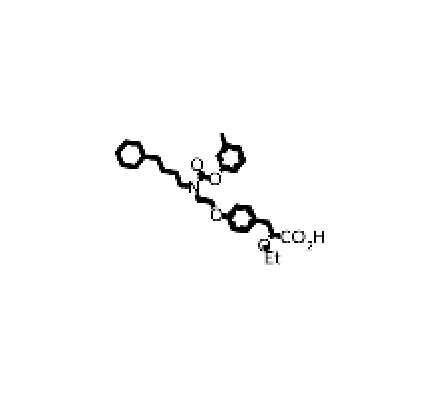 CCOC(Cc1ccc(OCCN(CCCCC2CCCCC2)C(=O)Oc2cccc(C)c2)cc1)C(=O)O